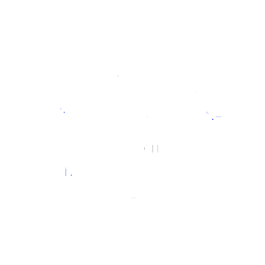 CC(C)c1nccnc1-c1ncc(C(N)=O)s1